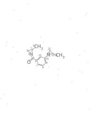 CC1CN1C(=O)c1cccc(N2CC2C)c1